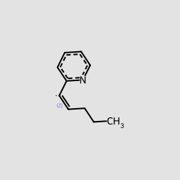 CCC/C=[C]\c1ccccn1